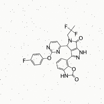 CC(F)(F)CN1C(=O)c2[nH]nc(-c3cccc4[nH]c(=O)oc34)c2C1c1ccnc(Oc2ccc(F)cc2)n1